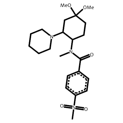 COC1(OC)CCC(N(C)C(=O)c2ccc(S(C)(=O)=O)cc2)C(N2CCCCC2)C1